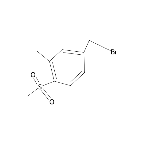 Cc1cc(CBr)ccc1S(C)(=O)=O